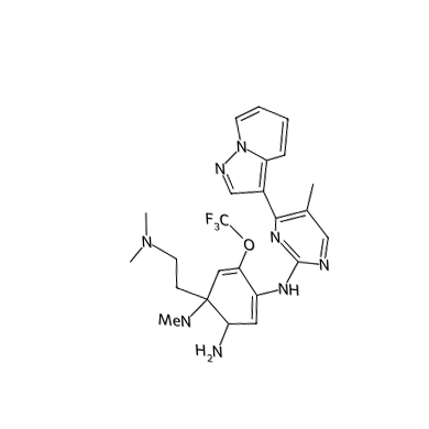 CNC1(CCN(C)C)C=C(OC(F)(F)F)C(Nc2ncc(C)c(-c3cnn4ccccc34)n2)=CC1N